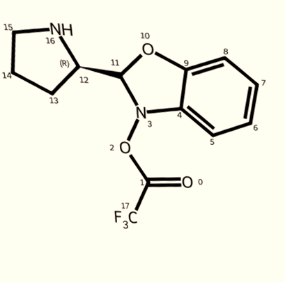 O=C(ON1c2ccccc2OC1[C@H]1CCCN1)C(F)(F)F